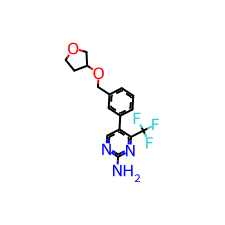 Nc1ncc(-c2cccc(COC3CCOC3)c2)c(C(F)(F)F)n1